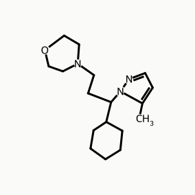 Cc1ccnn1C(CCN1CCOCC1)C1CCCCC1